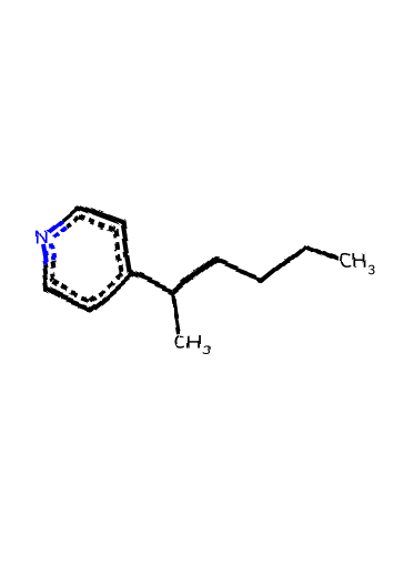 CCCCC(C)c1ccncc1